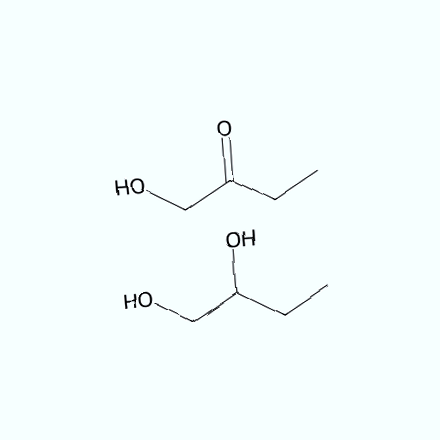 CCC(=O)CO.CCC(O)CO